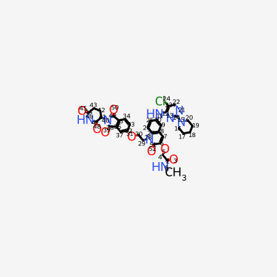 CNC(=O)COc1cc2cc(Nc3nc(N4CCCCC4)ncc3Cl)ccc2n(CCOc2ccc3c(c2)C(=O)N(C2CCC(=O)NC2=O)C3=O)c1=O